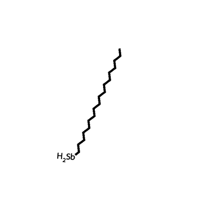 CCCCCCCCCCCCCCCCC[CH2][SbH2]